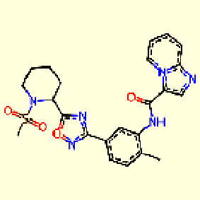 Cc1ccc(-c2noc(C3CCCCN3S(C)(=O)=O)n2)cc1NC(=O)c1cnc2ccccn12